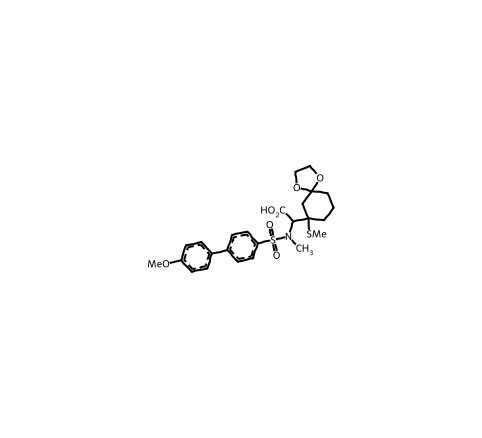 COc1ccc(-c2ccc(S(=O)(=O)N(C)C(C(=O)O)C3(SC)CCCC4(C3)OCCO4)cc2)cc1